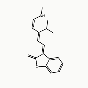 C=c1oc2ccccc2/c1=C/C=C(/C=C\NC)C(C)C